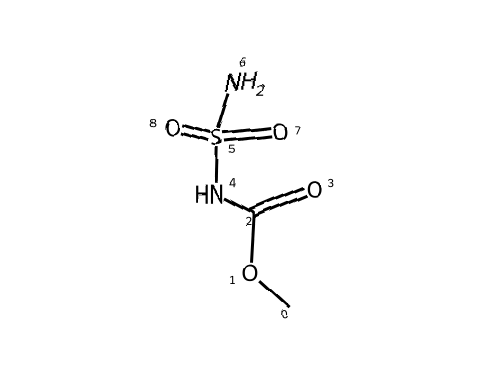 COC(=O)NS(N)(=O)=O